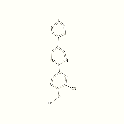 CC(C)Oc1ccc(-c2ncc(-c3ccncc3)cn2)cc1C#N